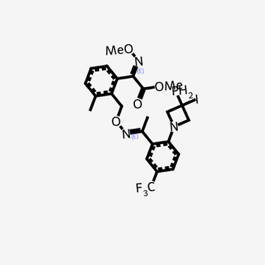 CO/N=C(/C(=O)OC)c1cccc(C)c1CO/N=C(\C)c1cc(C(F)(F)F)ccc1N1CC(P)(I)C1